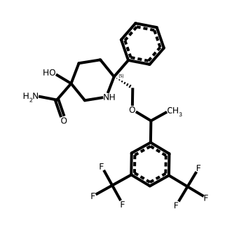 CC(OC[C@@]1(c2ccccc2)CCC(O)(C(N)=O)CN1)c1cc(C(F)(F)F)cc(C(F)(F)F)c1